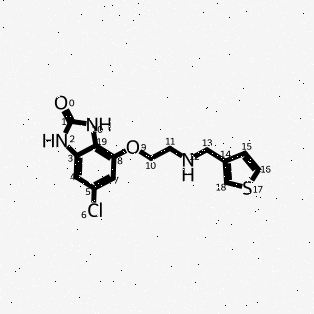 O=c1[nH]c2cc(Cl)cc(OCCNCc3ccsc3)c2[nH]1